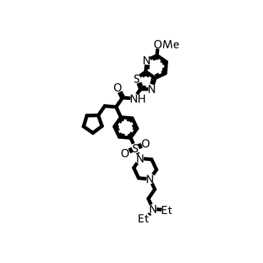 CCN(CC)CCN1CCN(S(=O)(=O)c2ccc(C(CC3CCCC3)C(=O)Nc3nc4ccc(OC)nc4s3)cc2)CC1